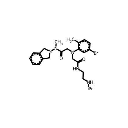 Cc1ccc(Br)cc1N(CC(=O)NCCNC(C)C)CC(=O)N(C)N1Cc2ccccc2C1